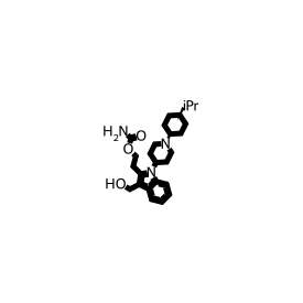 CC(C)[C@H]1CC[C@@H](N2CCC(n3c(CCOC(N)=O)c(CO)c4ccccc43)CC2)CC1